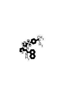 CC(C)c1ccc(S(=O)(=O)c2nnn3c2nc(C(N)c2cccc4ccccc24)c2sccc23)cc1